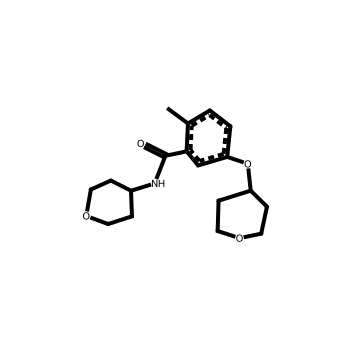 Cc1ccc(OC2CCOCC2)cc1C(=O)NC1CCOCC1